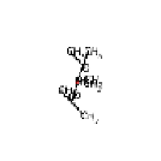 CCCCCCCCC(CCCCCC)COC(=O)CCCCCN(CCCCCC(=O)C(CCCCCC)CCCCCCCC)CCN(C)C